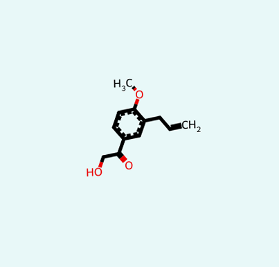 C=CCc1cc(C(=O)CO)ccc1OC